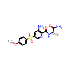 CC[C@H](NC(=O)c1ncc(S(=O)(=O)c2ccc(OC(F)(F)F)cc2)cc1N)C(N)=O